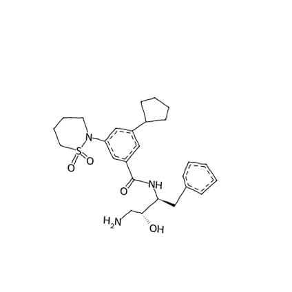 NC[C@@H](O)[C@H](Cc1ccccc1)NC(=O)c1cc(C2CCCC2)cc(N2CCCCS2(=O)=O)c1